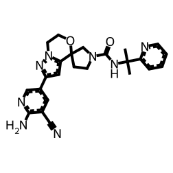 CC(C)(NC(=O)N1CCC2(C1)OCCn1nc(-c3cnc(N)c(C#N)c3)cc12)c1ccccn1